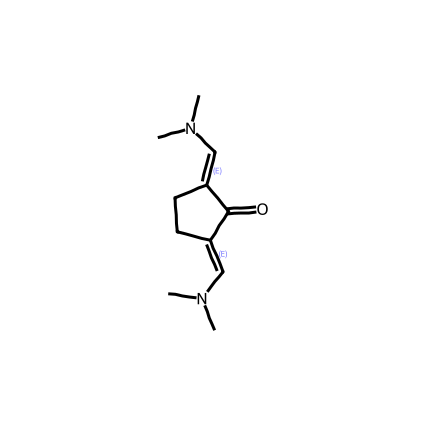 CN(C)/C=C1\CC/C(=C\N(C)C)C1=O